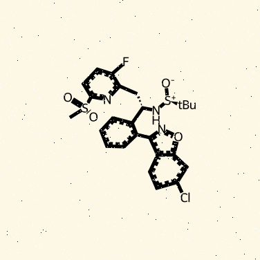 CC(C)(C)[S@+]([O-])N[C@@H](Cc1nc(S(C)(=O)=O)ccc1F)c1ccccc1-c1noc2cc(Cl)ccc12